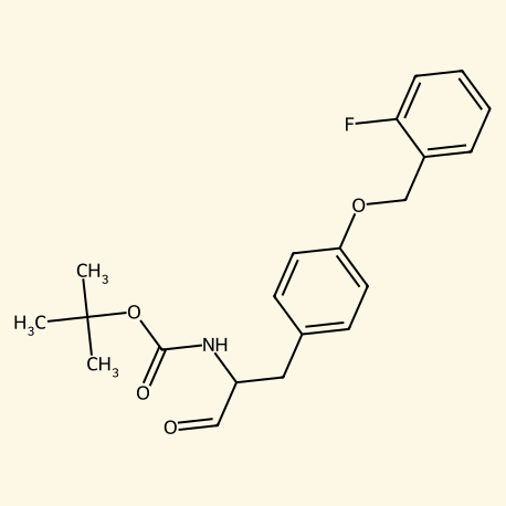 CC(C)(C)OC(=O)NC(C=O)Cc1ccc(OCc2ccccc2F)cc1